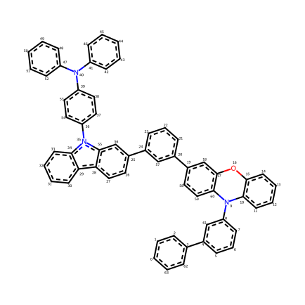 c1ccc(-c2cccc(N3c4ccccc4Oc4cc(-c5cccc(-c6ccc7c8ccccc8n(-c8ccc(N(c9ccccc9)c9ccccc9)cc8)c7c6)c5)ccc43)c2)cc1